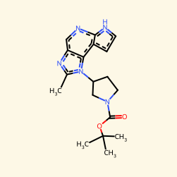 Cc1nc2cnc3[nH]ccc3c2n1C1CCN(C(=O)OC(C)(C)C)C1